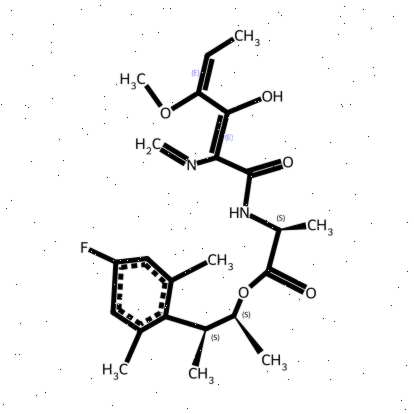 C=N/C(C(=O)N[C@@H](C)C(=O)O[C@@H](C)[C@@H](C)c1c(C)cc(F)cc1C)=C(O)\C(=C/C)OC